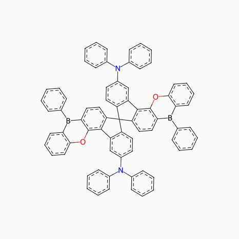 c1ccc(B2c3ccccc3Oc3c2ccc2c3-c3cc(N(c4ccccc4)c4ccccc4)ccc3C23c2ccc(N(c4ccccc4)c4ccccc4)cc2-c2c3ccc3c2Oc2ccccc2B3c2ccccc2)cc1